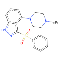 CCCN1CCN(c2cccc3[nH]nc(S(=O)(=O)c4ccccc4)c23)CC1